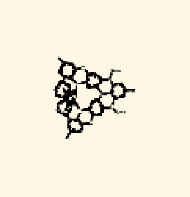 CSN1c2cc3c(cc2B2c4cc5c(cc4N(SC)c4cc(C)cc1c42)Oc1cc(C)cc2c1B5c1sc4ccccc4c1O2)B1c2sc4ccccc4c2Oc2cc(C)cc(c21)O3